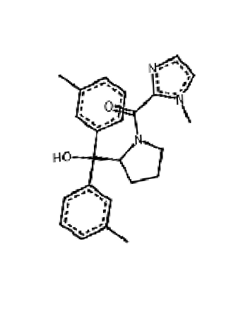 Cc1cccc(C(O)(c2cccc(C)c2)[C@@H]2CCCN2C(=O)c2nccn2C)c1